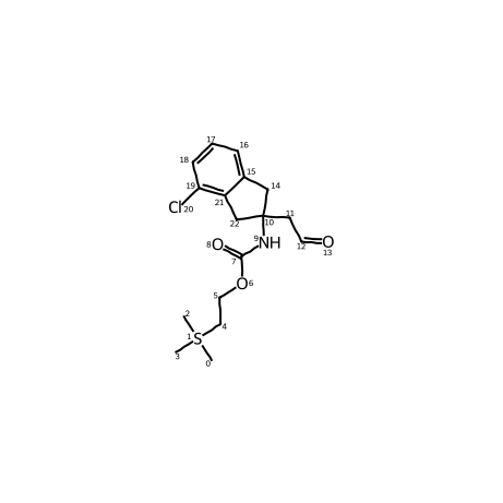 CS(C)(C)CCOC(=O)NC1(CC=O)Cc2cccc(Cl)c2C1